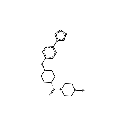 CC(C)N1CCN(C(=O)[C@H]2CC[C@H](Oc3ccc(-n4ccnc4)cc3)CC2)CC1